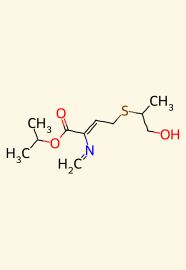 C=N/C(=C\CSC(C)CO)C(=O)OC(C)C